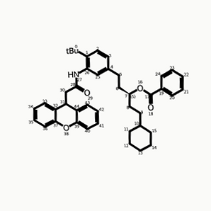 CC(C)(C)c1ccc(CC[C@H](CCC2CCCCC2)OC(=O)c2ccccc2)cc1NC(=O)CC1c2ccccc2Oc2ccccc21